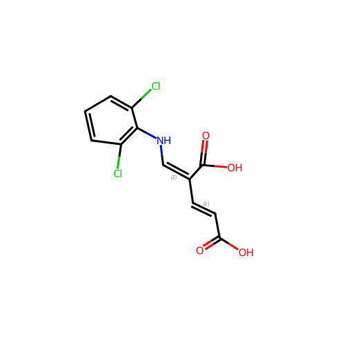 O=C(O)/C=C/C(=C/Nc1c(Cl)cccc1Cl)C(=O)O